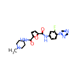 CN1CCC(NC(=O)c2ccc(C(=O)Nc3ccc(-n4cncn4)c(F)c3)o2)CC1